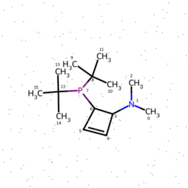 CN(C)C1C=CC1P(C(C)(C)C)C(C)(C)C